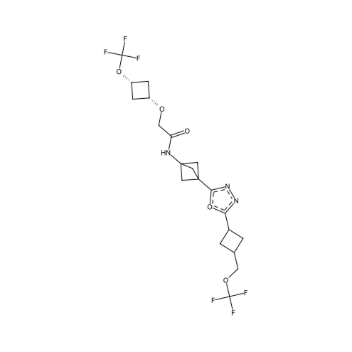 O=C(CO[C@H]1C[C@@H](OC(F)(F)F)C1)NC12CC(c3nnc(C4CC(COC(F)(F)F)C4)o3)(C1)C2